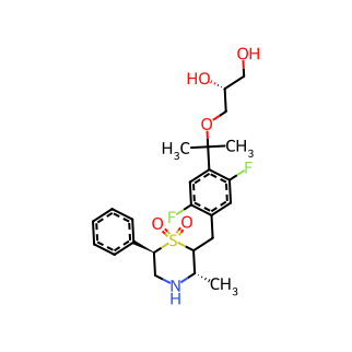 C[C@@H]1NC[C@@H](c2ccccc2)S(=O)(=O)C1Cc1cc(F)c(C(C)(C)OC[C@H](O)CO)cc1F